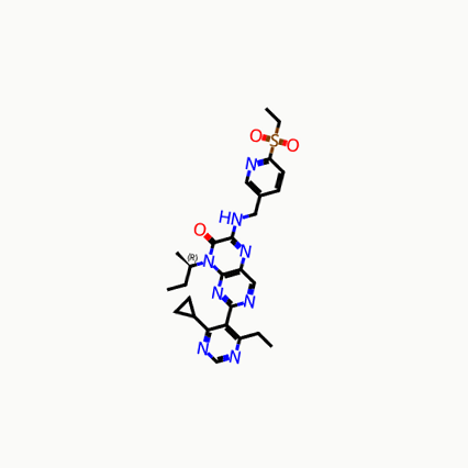 CCc1ncnc(C2CC2)c1-c1ncc2nc(NCc3ccc(S(=O)(=O)CC)nc3)c(=O)n([C@H](C)CC)c2n1